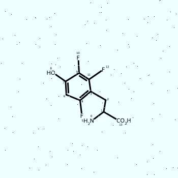 NC(Cc1c(F)cc(O)c(F)c1F)C(=O)O